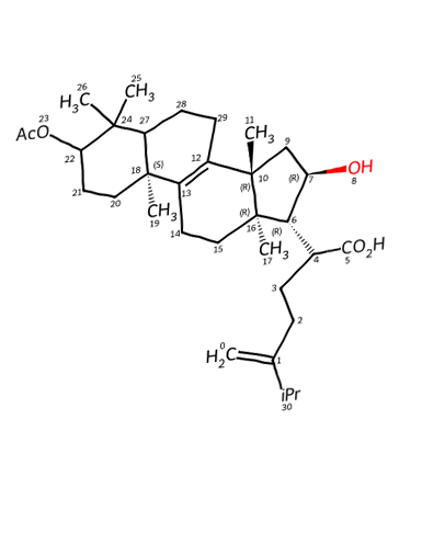 C=C(CCC(C(=O)O)[C@H]1[C@H](O)C[C@@]2(C)C3=C(CC[C@]12C)[C@@]1(C)CCC(OC(C)=O)C(C)(C)C1CC3)C(C)C